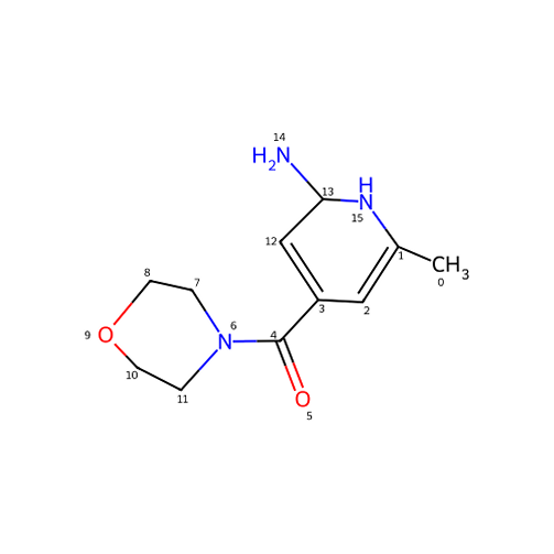 CC1=CC(C(=O)N2CCOCC2)=CC(N)N1